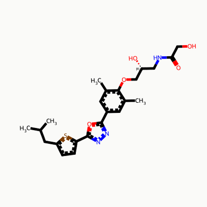 Cc1cc(-c2nnc(-c3ccc(CC(C)C)s3)o2)cc(C)c1OC[C@H](O)CNC(=O)CO